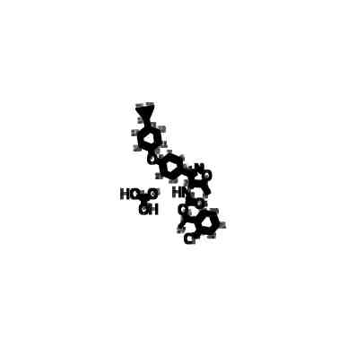 Cc1onc(-c2ccc(Oc3ccc(C4CC4)cc3)cc2)c1NC(=O)O[C@H](C)c1ccccc1Cl.O=C(O)O